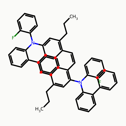 CCCc1cc(N(c2ccccc2F)c2ccccc2-c2ccccc2)c2ccc3c(CCC)cc(N(c4ccccc4F)c4ccccc4-c4ccccc4)c4ccc1c2c34